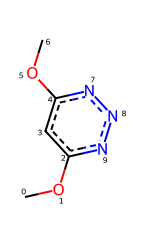 COc1cc(OC)nnn1